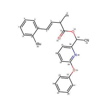 CC(C)C(/C=C/c1ccccc1C(C)(C)C)C(=O)OC(C#N)c1cccc(Oc2ccccc2)n1